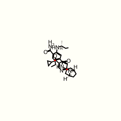 CCc1cc(C(N)=O)c(N[C@H](C)CC)cc1C(=O)N[C@H]1C[C@H]2CC[C@@H](C1)N2c1ccc(C(=O)C2CC2)cn1